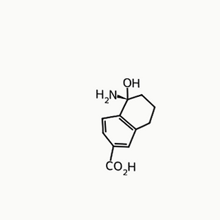 N[C@@]1(O)CCCc2cc(C(=O)O)ccc21